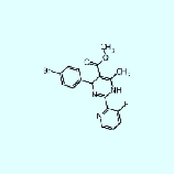 COC(=O)C1=C(C)NC(c2ncccc2F)=NC1c1ccc(Br)cc1